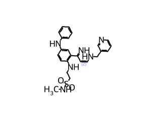 CNS(=O)(=O)CCNc1ccc(Nc2ccccc2)cc1C(=N)/C=C\NCc1cccnc1